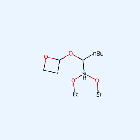 CCCCC(OC1CCO1)[SiH](OCC)OCC